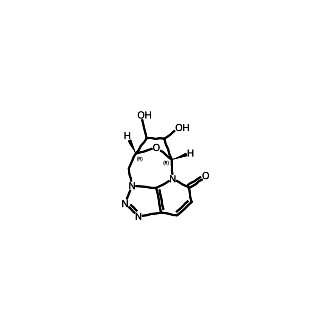 O=c1ccc2nnn3c2n1[C@@H]1O[C@H](C3)C(O)C1O